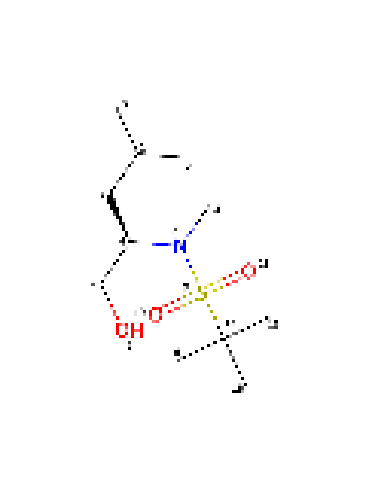 CC(C)C[C@H](CO)N(C)S(=O)(=O)C(C)(C)C